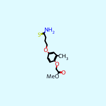 COC(=O)COc1ccc(OCCCC(N)=S)cc1C